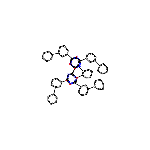 c1ccc(-c2cccc(-c3nc(-c4cccc(-c5ccccc5)c4)nc(-c4ccccc4-c4ccccc4-c4ccccc4-c4nc(-c5cccc(-c6ccccc6)c5)nc(-c5cccc(-c6ccccc6)c5)n4)n3)c2)cc1